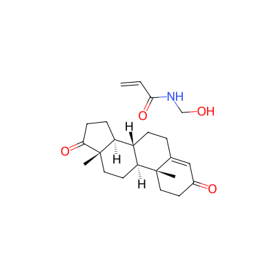 C=CC(=O)NCO.C[C@]12CCC(=O)C=C1CC[C@@H]1[C@@H]2CC[C@]2(C)C(=O)CC[C@@H]12